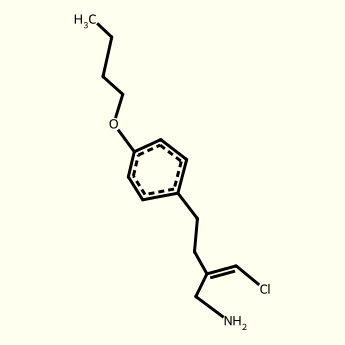 CCCCOc1ccc(CCC(=CCl)CN)cc1